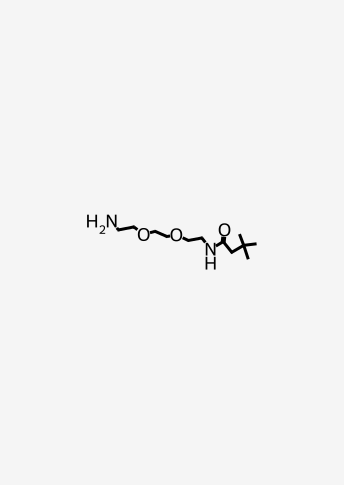 CC(C)(C)CC(=O)NCCOCCOCCN